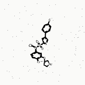 C[C@@]1(Oc2cc(N(Cl)S(=O)(=O)c3cc(-c4ccc(Cl)cc4)cs3)ccc2Cl)CCNC1